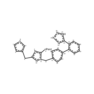 CCCCCc1nc(Cc2ccsc2)nn1Cc1ccc(-c2ccccc2-c2nnn[nH]2)cc1